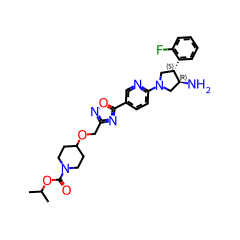 CC(C)OC(=O)N1CCC(OCc2noc(-c3ccc(N4C[C@H](c5ccccc5F)[C@@H](N)C4)nc3)n2)CC1